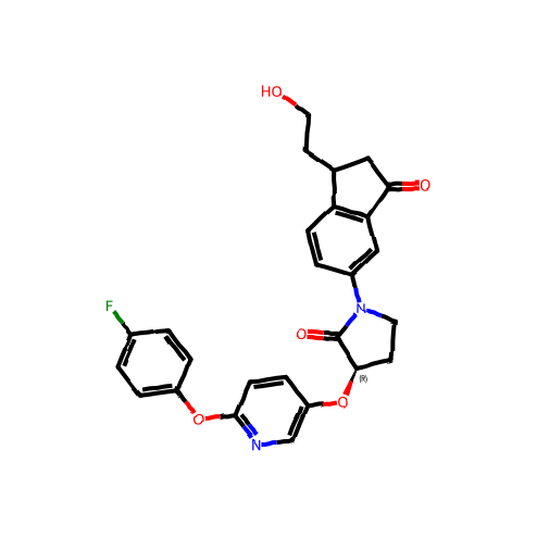 O=C1CC(CCO)c2ccc(N3CC[C@@H](Oc4ccc(Oc5ccc(F)cc5)nc4)C3=O)cc21